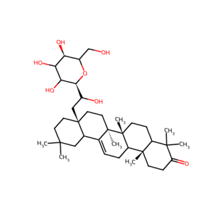 CC1(C)CC[C@]2(CC(O)[C@@H]3OC(CO)[C@H](O)C(O)C3O)CC[C@]3(C)C(=CCC4[C@@]5(C)CCC(=O)C(C)(C)C5CC[C@]43C)C2C1